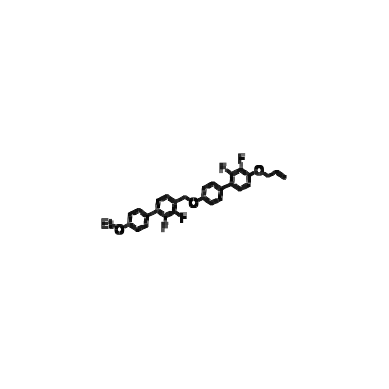 C=CCOc1ccc(-c2ccc(OCc3ccc(-c4ccc(OCC)cc4)c(F)c3F)cc2)c(F)c1F